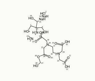 CN.Cl.NC(CO)(CO)CO.O=C(O)CN(CCN(CC(=O)O)CC(=O)OCO)CC(=O)O.[NaH].[NaH]